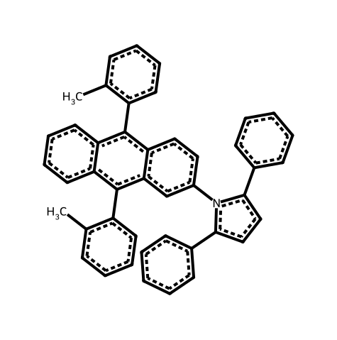 Cc1ccccc1-c1c2ccccc2c(-c2ccccc2C)c2cc(-n3c(-c4ccccc4)ccc3-c3ccccc3)ccc12